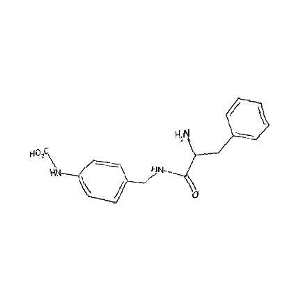 NC(Cc1ccccc1)C(=O)NCc1ccc(NC(=O)O)cc1